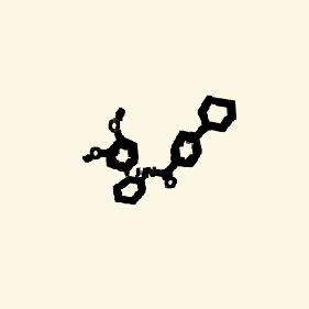 COc1ccc([C@H]2CCCC[C@H]2NC(=O)c2ccc(C3CCCCC3)cc2)cc1OC